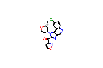 C[C@@H]1CC(n2c(C(=O)c3ccon3)nc3cnc4ccc(Cl)cc4c32)CCO1